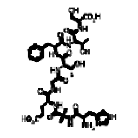 C[C@@H](O)[C@H](NC(=O)CNC(=O)[C@H](CCC(=O)O)NC(=O)C(C)(C)NC(=O)[C@@H](N)Cc1c[nH]cn1)C(=O)N[C@@H](Cc1ccccc1)C(=O)N[C@H](C(=O)N[C@@H](CO)C(=O)O)[C@@H](C)O